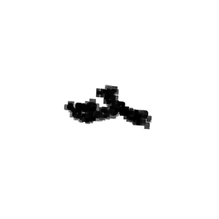 COc1cc(CN2CCN(C3CC4(CCN(c5ccc(C(=O)NSc6ccc(N)c([N+](=O)[O-])c6)c(Oc6cnc7[nH]cc(F)c7c6)c5)CC4)C3)C(c3ccccc3C(C)C)C2)ccc1C1CC1